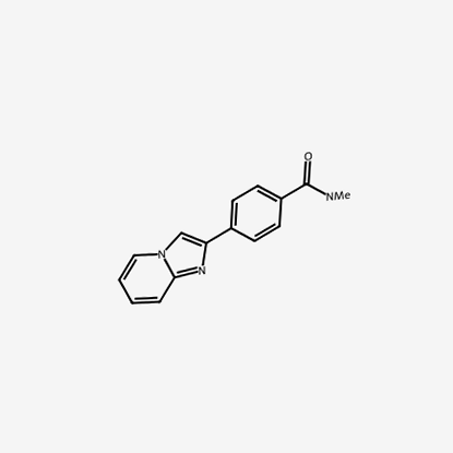 CNC(=O)c1ccc(-c2cn3ccccc3n2)cc1